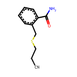 N#C[CH]CSCc1ccccc1C(N)=O